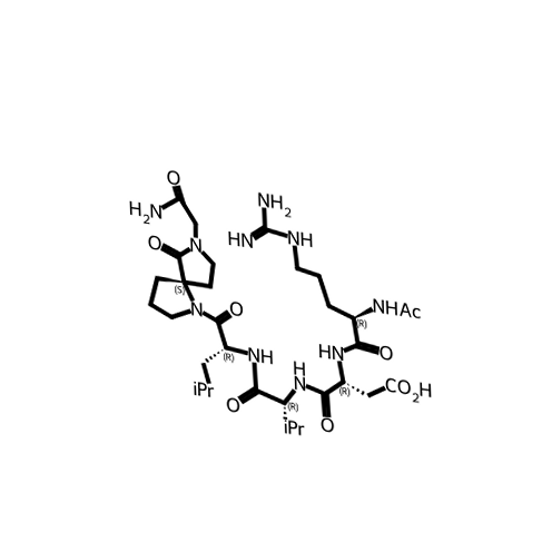 CC(=O)N[C@H](CCCNC(=N)N)C(=O)N[C@H](CC(=O)O)C(=O)N[C@@H](C(=O)N[C@H](CC(C)C)C(=O)N1CCC[C@@]12CCN(CC(N)=O)C2=O)C(C)C